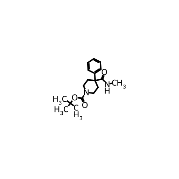 CNC(=O)C1(c2ccccc2)CCN(C(=O)OC(C)(C)C)CC1